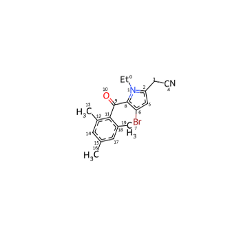 CCn1c(CC#N)cc(Br)c1C(=O)c1c(C)cc(C)cc1C